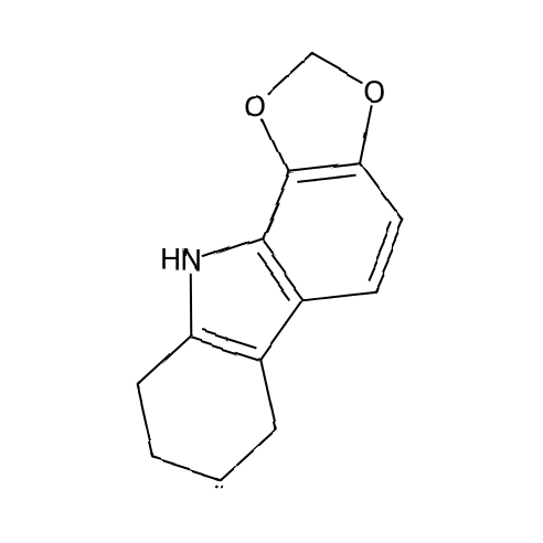 [C]1CCc2[nH]c3c4c(ccc3c2C1)OCO4